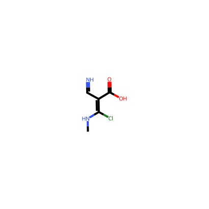 CN/C(Cl)=C(\C=N)C(=O)O